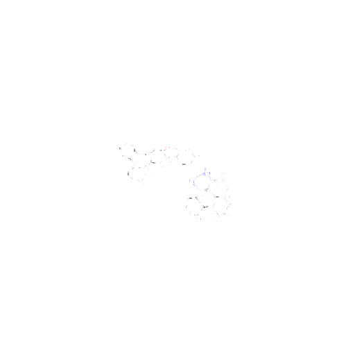 c1ccc(-c2nc(-c3ccc4oc5cc6c7ccccc7c7ccccc7c6cc5c4c3)nc3ccc4ccccc4c23)cc1